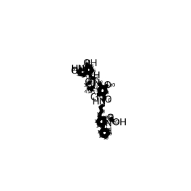 COc1cc(C(=O)NCCCCc2ccc(-c3ccccc3)c(NC(=O)O)c2)c(Cl)cc1CNCC(O[Si](C)(C)C(C)(C)C)c1ccc(O)c2[nH]c(=O)ccc12